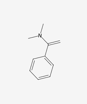 C=C(c1ccccc1)N(C)C